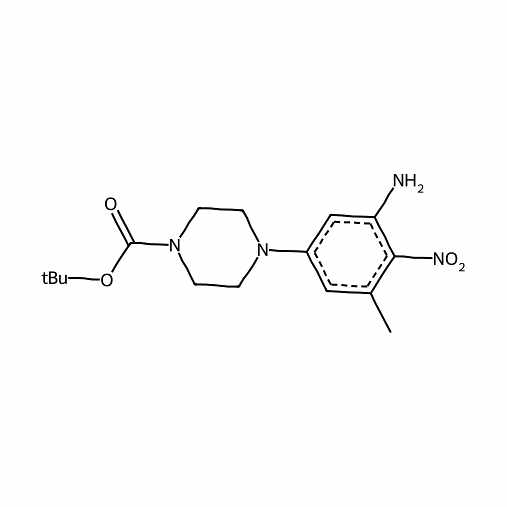 Cc1cc(N2CCN(C(=O)OC(C)(C)C)CC2)cc(N)c1[N+](=O)[O-]